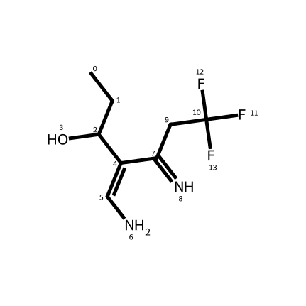 CCC(O)/C(=C/N)C(=N)CC(F)(F)F